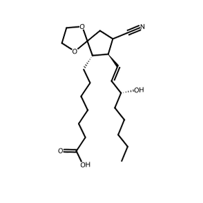 CCCCC[C@@H](O)C=C[C@@H]1C(C#N)CC2(OCCO2)[C@H]1CCCCCCC(=O)O